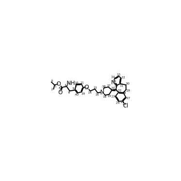 CC(C)OC(=O)[C@@H](N)Cc1ccc(OCCCN2CCC(=C3c4ccc(Cl)cc4CCc4cccnc43)CC2)cc1